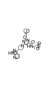 CC(CS(C)(=O)=O)NC(=O)c1cc(N2CCC(c3n[nH]c4ncccc34)CC2)nc(OC[C@H]2CCCO2)n1